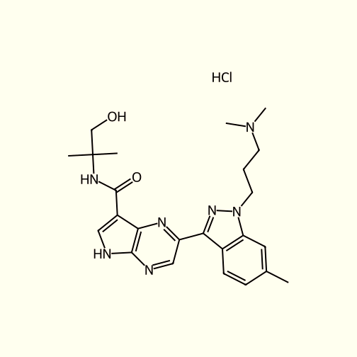 Cc1ccc2c(-c3cnc4[nH]cc(C(=O)NC(C)(C)CO)c4n3)nn(CCCN(C)C)c2c1.Cl